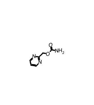 NC(=O)OCc1ncccn1